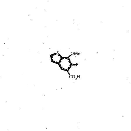 COc1c(F)c(C(=O)O)cc2ccsc12